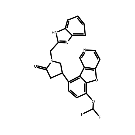 O=C1CC(c2ccc(OC(F)F)c3oc4ccncc4c23)CN1Cc1nc2ccccc2[nH]1